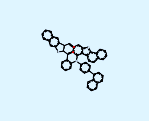 C1=CC2c3cc4ccccc4cc3OC2C(c2ccccc2N(c2ccc(-c3cccc4ccccc34)cc2)c2cccc3oc4c5ccccc5ccc4c23)=C1